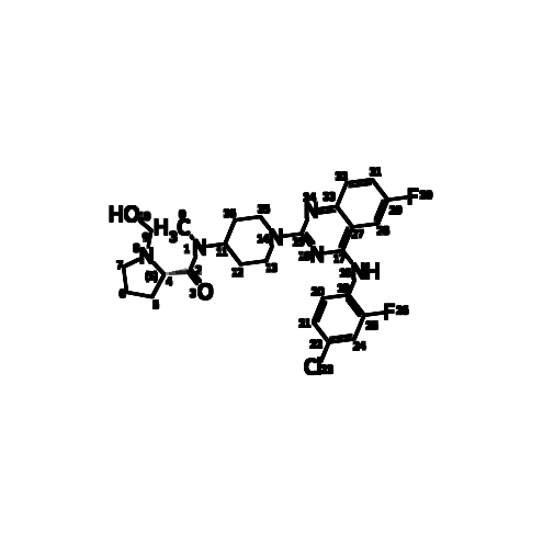 CN(C(=O)[C@@H]1CCCN1CO)C1CCN(c2nc(Nc3ccc(Cl)cc3F)c3cc(F)ccc3n2)CC1